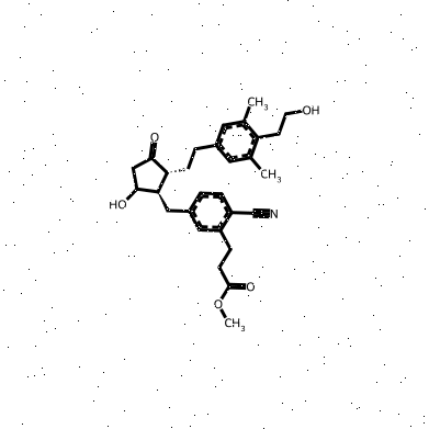 COC(=O)CCc1cc(C[C@H]2C(O)CC(=O)[C@@H]2CCc2cc(C)c(CCO)c(C)c2)ccc1C#N